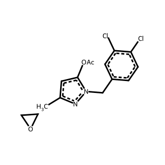 C1CO1.CC(=O)Oc1cc(C)nn1Cc1ccc(Cl)c(Cl)c1